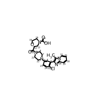 Cc1c(-c2cc(N3CCN(C(=O)C4CN(C(=O)O)CCO4)CC3)ccc2Cl)nc2ccccn12